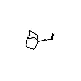 C=[CH][Pd][C]12CCC(CC1)C2